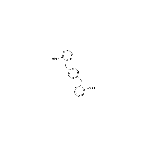 CCCCc1ccccc1Cc1ccc(Cc2ccccc2CCCC)cc1